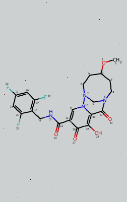 COC1CCN2CN(CC1)n1cc(C(=O)NCc3c(F)cc(F)cc3F)c(=O)c(O)c1C2=O